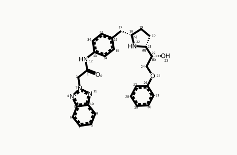 O=C(Cn1nc2ccccc2n1)Nc1ccc(C[C@@H]2CC[C@H]([C@H](O)COc3ccccc3)N2)cc1